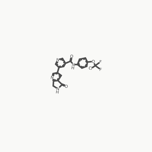 O=C(Nc1ccc(OC(F)(F)Cl)cc1)c1cncc(-c2cnc3c(c2)C(=O)NC3)c1